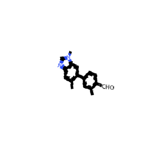 Cc1cc(-c2cc3c(cc2C)ncn3C)ccc1C=O